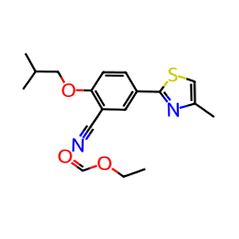 CCOC=O.Cc1csc(-c2ccc(OCC(C)C)c(C#N)c2)n1